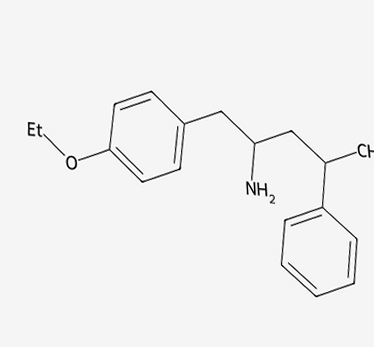 CCOc1ccc(CC(N)CC(C)c2ccccc2)cc1